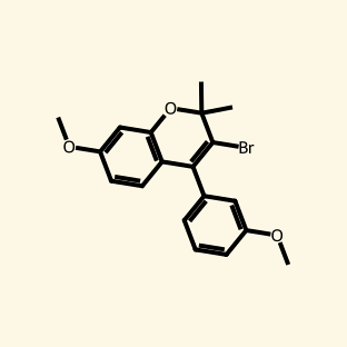 COc1cccc(C2=C(Br)C(C)(C)Oc3cc(OC)ccc32)c1